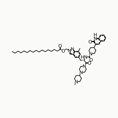 CCCCCCCCCCCCCCCCC(=O)OCn1cc2cc(C[C@@H](NC(=O)N3CCC(c4cc5ccccc5[nH]c4=O)CC3)C(=O)N3CCN(C4CCN(C)CC4)CC3)cc(C)c2n1